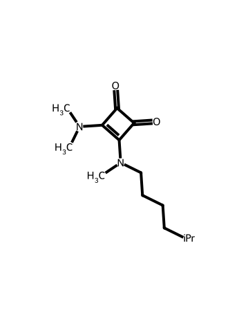 CC(C)CCCCN(C)c1c(N(C)C)c(=O)c1=O